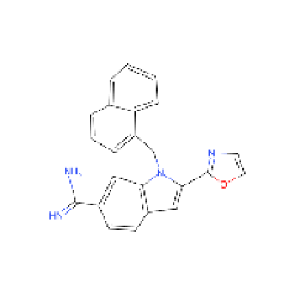 N=C(N)c1ccc2cc(-c3ncco3)n(Cc3cccc4ccccc34)c2c1